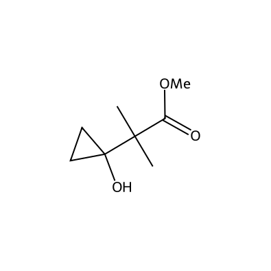 COC(=O)C(C)(C)C1(O)CC1